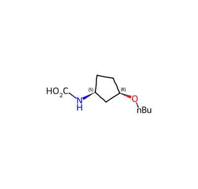 CCCCO[C@@H]1CC[C@H](NC(=O)O)C1